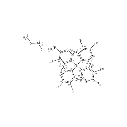 CC[NH2+]CC.Fc1cc(F)c([B-](c2c(F)cc(F)c(F)c2F)(c2c(F)cc(F)c(F)c2F)c2c(F)cc(F)c(F)c2F)c(F)c1F